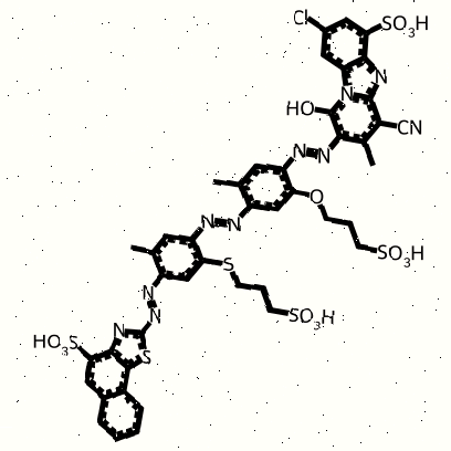 Cc1cc(N=Nc2cc(OCCCS(=O)(=O)O)c(N=Nc3c(C)c(C#N)c4nc5c(S(=O)(=O)O)cc(Cl)cc5n4c3O)cc2C)c(SCCCS(=O)(=O)O)cc1N=Nc1nc2c(S(=O)(=O)O)cc3ccccc3c2s1